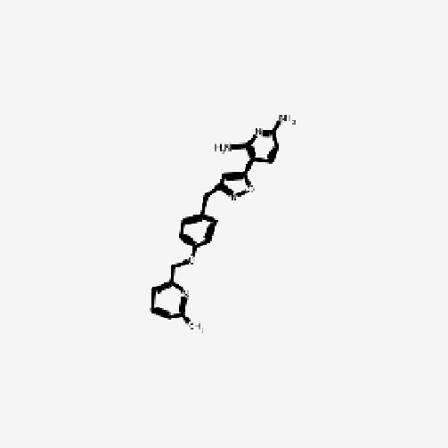 Cc1cccc(COc2ccc(Cc3cc(-c4ccc(N)nc4N)on3)cc2)n1